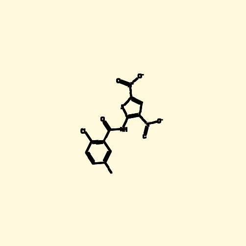 Cc1ccc(Cl)c(C(=O)Nc2sc([N+](=O)[O-])cc2[N+](=O)[O-])c1